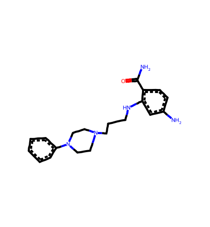 NC(=O)c1ccc(N)cc1NCCCN1CCN(c2ccccc2)CC1